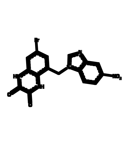 O=c1[nH]c2cc(Br)cc(Cn3cnc4cc([N+](=O)[O-])ccc43)c2[nH]c1=O